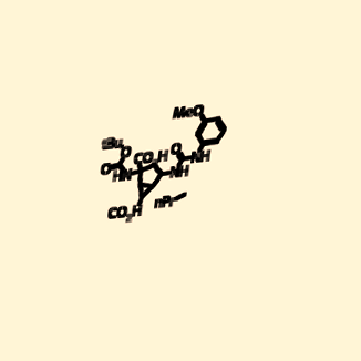 CCCC.COc1cccc(NC(=O)NC2CC(NC(=O)OC(C)(C)C)(C(=O)O)C3C(C(=O)O)C23)c1